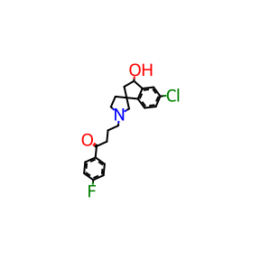 O=C(CCCN1CCC2(CC(O)c3cc(Cl)ccc32)C1)c1ccc(F)cc1